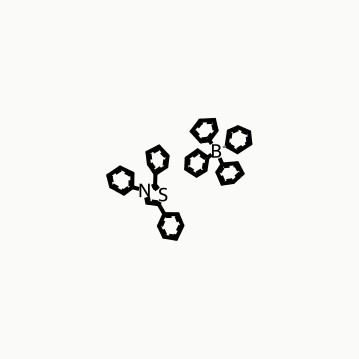 c1ccc(-c2c[n+](-c3ccccc3)c(-c3ccccc3)s2)cc1.c1ccc([B-](c2ccccc2)(c2ccccc2)c2ccccc2)cc1